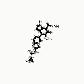 CNC(=O)c1c(F)c(C)c(-c2ccc3nc(NC(=O)[C@@H]4C[C@@H]4F)cn3c2)c2cn[nH]c12